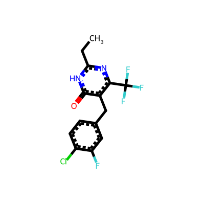 CCc1nc(C(F)(F)F)c(Cc2ccc(Cl)c(F)c2)c(=O)[nH]1